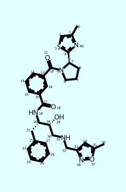 Cc1csc([C@H]2CCCN2C(=O)c2cccc(C(=O)N[C@@H](Cc3ccccc3)[C@H](O)CNCc3cc(C)on3)c2)n1